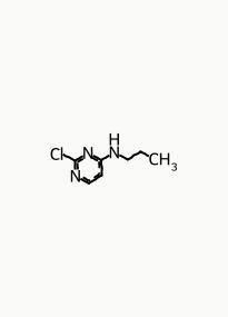 CCCNc1ccnc(Cl)n1